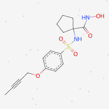 CC#CCOc1ccc(S(=O)(=O)NC2(C(=O)NO)CCCC2)cc1